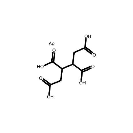 O=C(O)CC(C(=O)O)C(CC(=O)O)C(=O)O.[Ag]